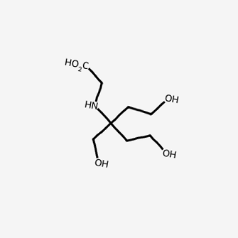 O=C(O)CNC(CO)(CCO)CCO